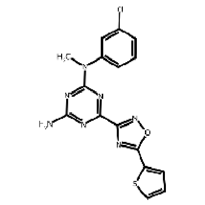 CN(c1cccc(Cl)c1)c1nc(N)nc(-c2noc(-c3cccs3)n2)n1